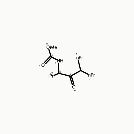 CCCC(CCC)C(=O)C(NC(=O)OC)C(C)C